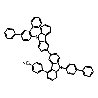 N#Cc1ccc(-c2cccc3c2c2cc(-c4ccc5c(c4)c4ccccc4n5-c4ccc(-c5ccccc5)cc4-c4ccccc4)ccc2n3-c2ccc(-c3ccccc3)cc2)cc1